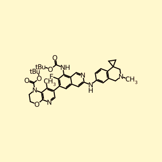 Cc1c(-c2cc3cc(Nc4ccc5c(c4)CN(C)CC54CC4)ncc3c(NC(=O)OC(C)(C)C)c2F)cnc2c1N(C(=O)OC(C)(C)C)CCO2